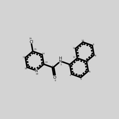 O=C(Nc1cccc2ccccc12)c1cc(Cl)ccn1